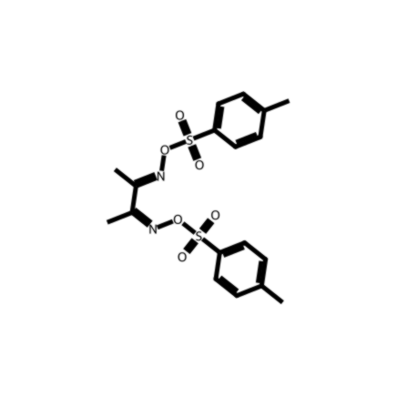 CC(=NOS(=O)(=O)c1ccc(C)cc1)C(C)=NOS(=O)(=O)c1ccc(C)cc1